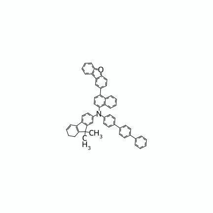 CC1(C)C2=C(C=CCC2)c2ccc(N(c3ccc(-c4ccc(-c5ccccc5)cc4)cc3)c3ccc(-c4ccc5oc6ccccc6c5c4)c4ccccc34)cc21